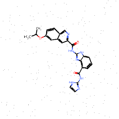 CC(C)Oc1ccc2cnc(C(=O)Nc3nc4c(C(=O)Nc5ncc[nH]5)cccc4[nH]3)cc2c1